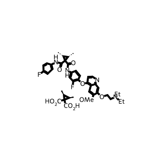 CCN(CC)CCOc1cc2nccc(Oc3ccc(NC(=O)C4(C(=O)Nc5ccc(F)cc5)[C@H](C)[C@@H]4C)cc3F)c2cc1OC.C[C@@H]1[C@H](C)C1(C(=O)O)C(=O)O